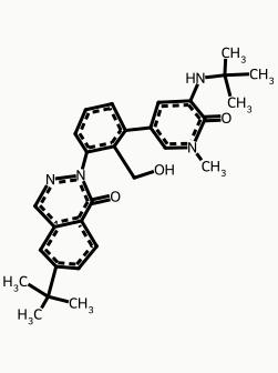 Cn1cc(-c2cccc(-n3ncc4cc(C(C)(C)C)ccc4c3=O)c2CO)cc(NC(C)(C)C)c1=O